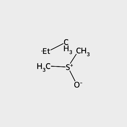 C[CH]C.C[S+](C)[O-]